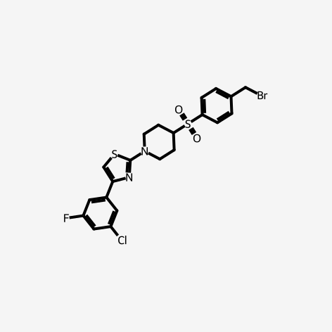 O=S(=O)(c1ccc(CBr)cc1)C1CCN(c2nc(-c3cc(F)cc(Cl)c3)cs2)CC1